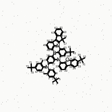 Cc1cc(C(C)(C)C)ccc1N(c1ccc2c(c1)N(c1cccc3c1oc1cc(C(C)(C)C)ccc13)c1cc(C(C)(C)C)cc3c1B2c1cccc2c4c(n-3c12)C(C)(C)c1ccccc1-4)c1ccc(C(C)(C)C)cc1C